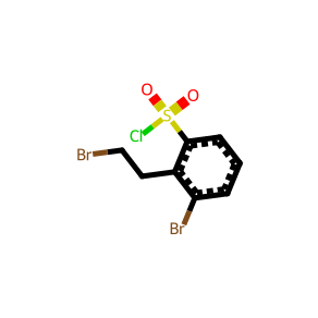 O=S(=O)(Cl)c1cccc(Br)c1CCBr